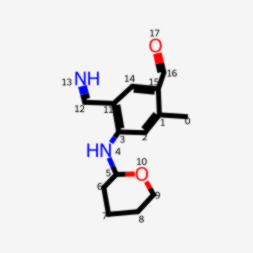 Cc1cc(NC2CCCCO2)c(C=N)cc1C=O